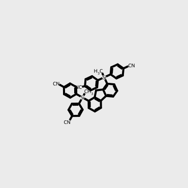 [C-]#[N+]c1ccc([Si](C)(c2ccc([N+]#[C-])cc2)c2cccc3c2Cc2c-3cccc2[Si](C)(c2ccc(C#N)cc2)c2ccc(C#N)cc2)cc1